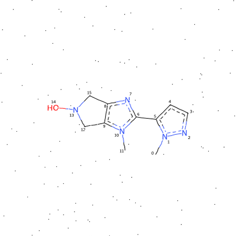 Cn1nccc1-c1nc2c(n1C)CN(O)C2